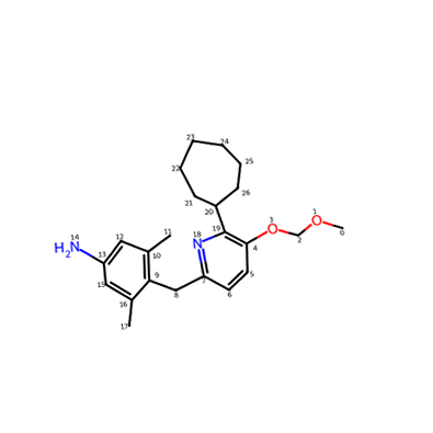 COCOc1ccc(Cc2c(C)cc(N)cc2C)nc1C1CCCCCC1